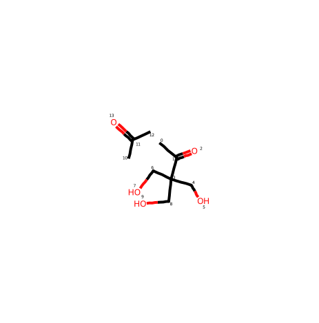 CC(=O)C(CO)(CO)CO.CC(C)=O